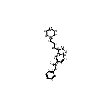 CN(Cc1ccccc1)c1ccc2nnc(CCCN3CCOCC3)n2n1